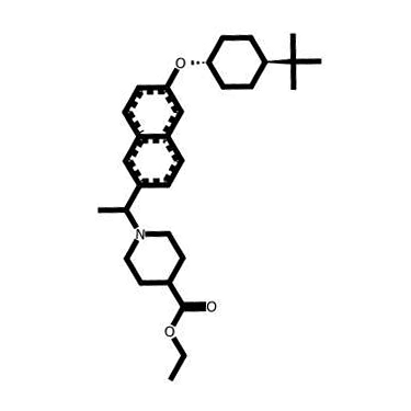 CCOC(=O)C1CCN(C(C)c2ccc3cc(O[C@H]4CC[C@H](C(C)(C)C)CC4)ccc3c2)CC1